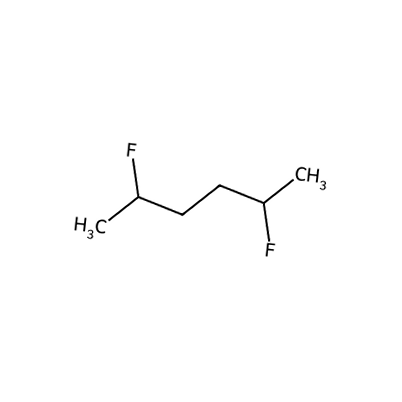 CC(F)CCC(C)F